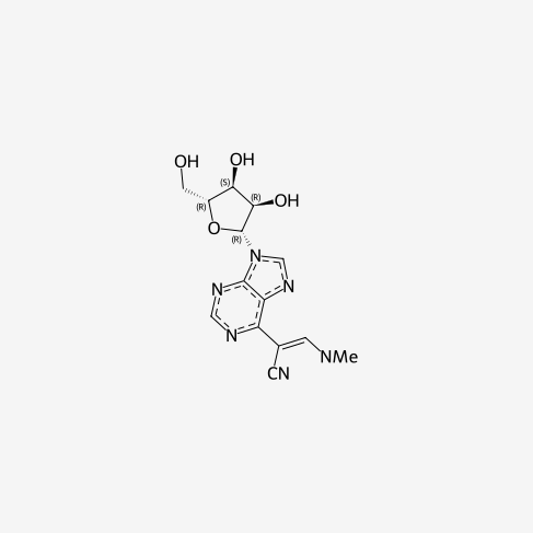 CNC=C(C#N)c1ncnc2c1ncn2[C@@H]1O[C@H](CO)[C@@H](O)[C@H]1O